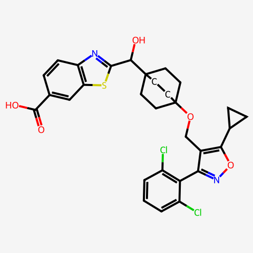 O=C(O)c1ccc2nc(C(O)C34CCC(OCc5c(-c6c(Cl)cccc6Cl)noc5C5CC5)(CC3)CC4)sc2c1